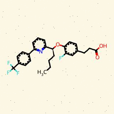 CCCC[C@H](Oc1ccc(CCC(=O)O)cc1F)c1cccc(-c2ccc(C(F)(F)F)cc2)n1